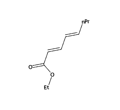 CCCC=CC=CC(=O)OCC